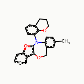 Cc1ccc2c(c1)COc1c(oc3ccccc13)N2c1cccc2c1OCCC2